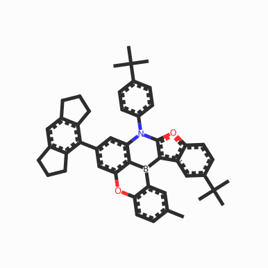 Cc1ccc2c(c1)B1c3c(cc(-c4c5c(cc6c4CCC6)CCC5)cc3N(c3ccc(C(C)(C)C)cc3)c3oc4ccc(C(C)(C)C)cc4c31)O2